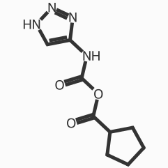 O=C(Nc1c[nH]nn1)OC(=O)C1CCCC1